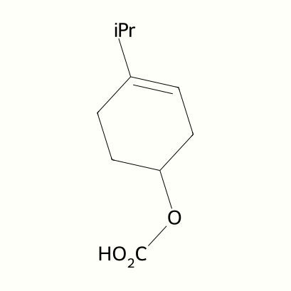 CC(C)C1=CCC(OC(=O)O)CC1